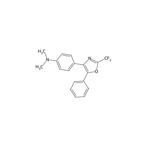 CN(C)c1ccc(-c2nc(C(F)(F)F)oc2-c2ccccc2)cc1